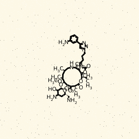 CC[C@H]1OC(=O)[C@H](C)C(=O)[C@H](C)[C@@H](O[C@@H]2O[C@H](CN)CC(N)C2O)[C@](C)(OC)C[C@@H](C)CN[C@H](C)[C@H]2N(CCCCn3cc(-c4cccc(N)c4)nn3)C(=O)O[C@]12C